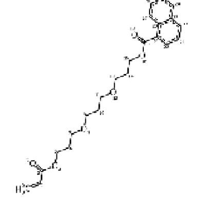 C=CC(=O)OCCCOCCCOCCCOC(=O)c1cccc2ccccc12